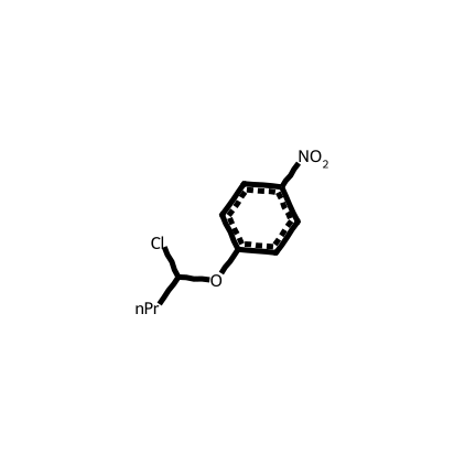 CCCC(Cl)Oc1ccc([N+](=O)[O-])cc1